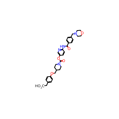 O=C(O)Cc1ccc(OCC2CCN(C(=O)Oc3ccc(NC(=O)c4ccc(CN5CCOCC5)cc4)nc3)CC2)cc1